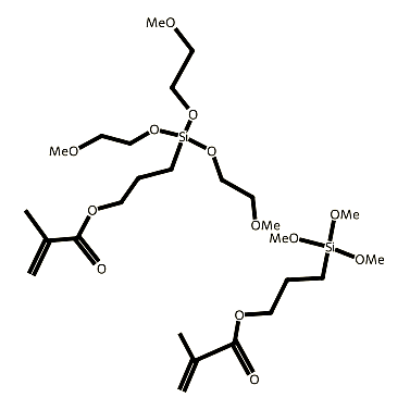 C=C(C)C(=O)OCCC[Si](OC)(OC)OC.C=C(C)C(=O)OCCC[Si](OCCOC)(OCCOC)OCCOC